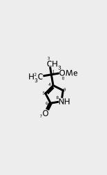 COC(C)(C)C1=CC(=O)NC1